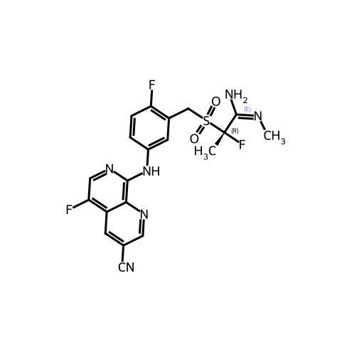 C/N=C(/N)[C@](C)(F)S(=O)(=O)Cc1cc(Nc2ncc(F)c3cc(C#N)cnc23)ccc1F